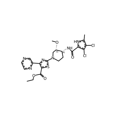 CCOC(=O)c1sc(N2CC[C@@H](NC(=O)c3[nH]c(C)c(Cl)c3Cl)[C@@H](OC)C2)nc1-c1cnccn1